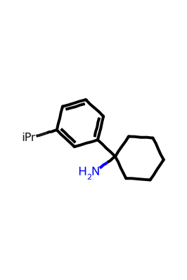 CC(C)c1cccc(C2(N)CCCCC2)c1